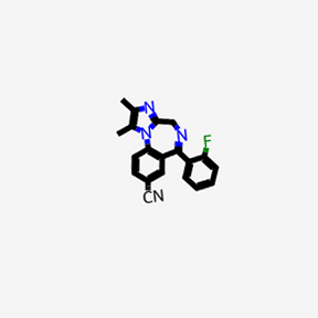 Cc1nc2n(c1C)-c1ccc(C#N)cc1C(c1ccccc1F)=NC2